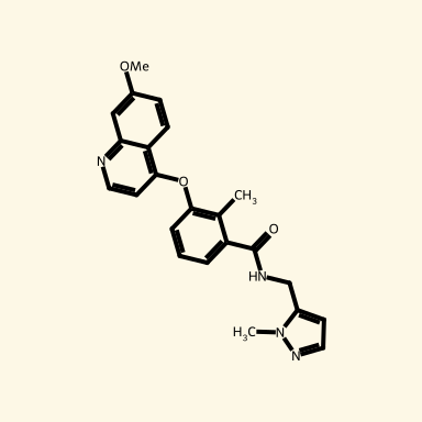 COc1ccc2c(Oc3cccc(C(=O)NCc4ccnn4C)c3C)ccnc2c1